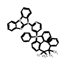 CC1(C)c2ccccc2Sc2c(cccc2[Si](c2ccccc2)(c2ccccc2)c2ccnc(-n3c4ccccc4n4c5ccccc5nc34)c2)C1(C)C